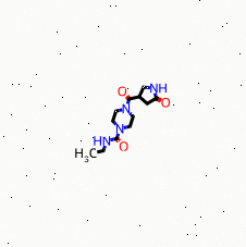 CCNC(=O)N1CCN(C(=O)C2CNC(=O)C2)CC1